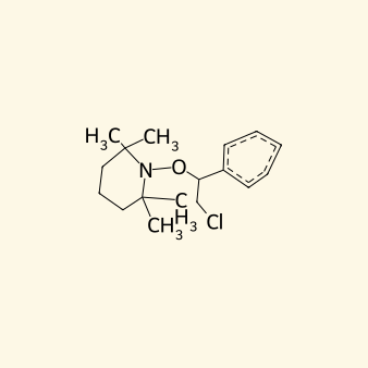 CC1(C)CCCC(C)(C)N1OC(CCl)c1ccccc1